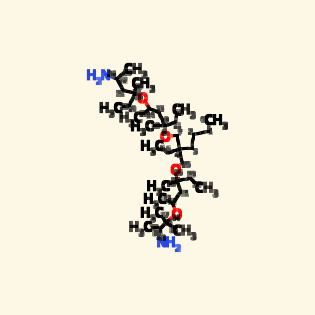 CCCCC(CC)(COC(C)(CC)CC(C)OC(C)(CC)CC(C)N)COC(C)(CC)CC(C)OC(C)(C)C(C)N